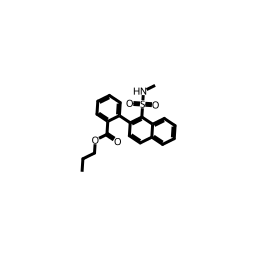 CCCOC(=O)c1ccccc1-c1ccc2ccccc2c1S(=O)(=O)NC